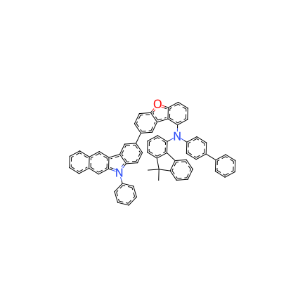 CC1(C)c2ccccc2-c2c(N(c3ccc(-c4ccccc4)cc3)c3cccc4oc5ccc(-c6ccc7c(c6)c6cc8ccccc8cc6n7-c6ccccc6)cc5c34)cccc21